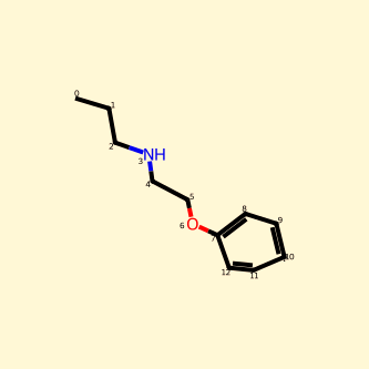 CCCNCCOc1cc[c]cc1